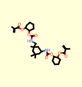 C=C(C)C(=O)OC1CCCCC1OC(=O)NCC1(C)CC(NC(=O)OC2CCCCC2OC(=O)C(=C)C)CC(C)(C)C1